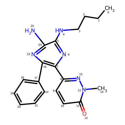 CCCCNc1nc(-c2ccc(=O)n(C)n2)c(-c2ccccc2)nc1N